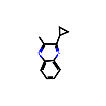 Cc1nc2ccccc2nc1C1CC1